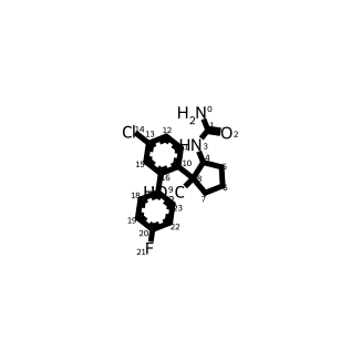 NC(=O)NC1CCCC1(C(=O)O)c1ccc(Cl)cc1-c1ccc(F)cc1